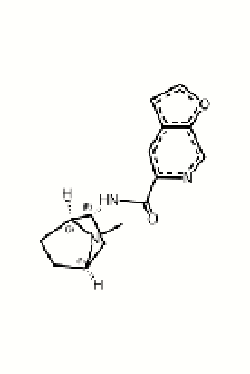 CN1[C@@H]2CC[C@H]1[C@H](NC(=O)c1cc3ccoc3cn1)C2